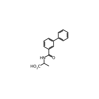 CC(NC(=O)c1cccc(-c2ccccc2)c1)C(=O)O